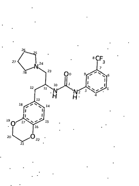 O=C(Nc1cccc(C(F)(F)F)c1)NC(Cc1ccc2c(c1)OCCO2)CN1CCCC1